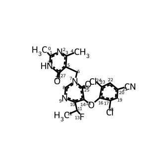 Cc1nc(C)c(Cn2cnc(C(C)F)c(Oc3c(Cl)cc(C#N)cc3Cl)c2=O)c(=O)[nH]1